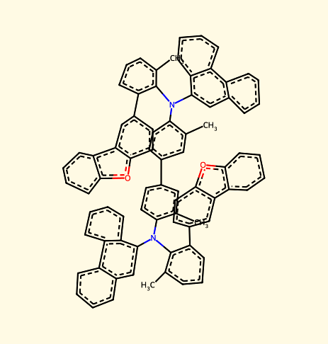 Cc1cc(-c2ccc(N(c3c(C)cccc3-c3ccc4oc5ccccc5c4c3)c3cc4ccccc4c4ccccc34)c(C)c2)ccc1N(c1c(C)cccc1-c1ccc2oc3ccccc3c2c1)c1cc2ccccc2c2ccccc12